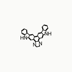 c1ccc2c(c1)[nH]c1cc3c(cc12)c1cc2c(cc1c1nccnc31)[nH]c1ccccc12